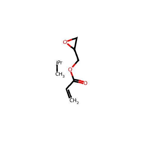 C=CC(=O)OCC1CO1.CC(C)C